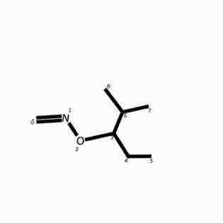 [CH]=NOC(CC)C(C)C